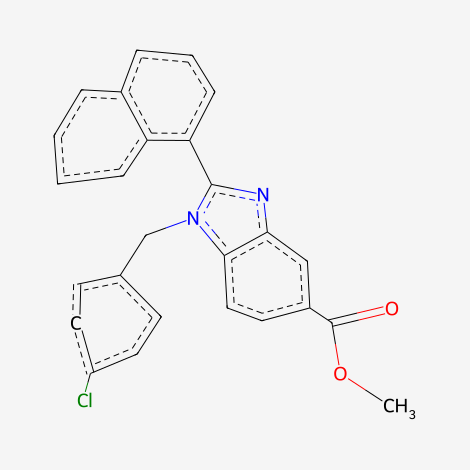 COC(=O)c1ccc2c(c1)nc(-c1cccc3ccccc13)n2Cc1ccc(Cl)cc1